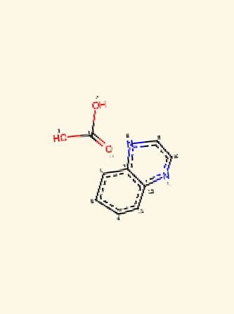 O=C(O)O.c1ccc2nccnc2c1